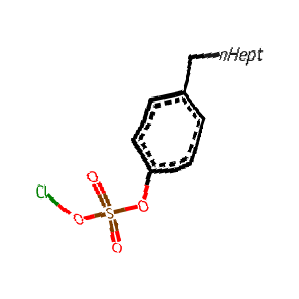 CCCCCCCCc1ccc(OS(=O)(=O)OCl)cc1